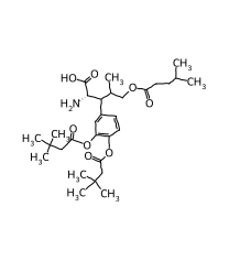 CC(C)CCC(=O)OCC(C)C(c1ccc(OC(=O)CC(C)(C)C)c(OC(=O)CC(C)(C)C)c1)[C@H](N)C(=O)O